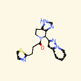 O=C(CCc1nccs1)N1CCc2[nH]cnc2C1c1cc2ccccn2n1